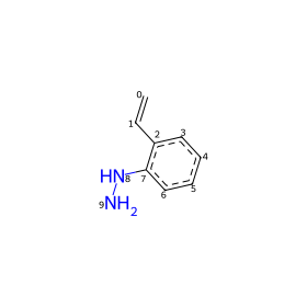 C=Cc1ccccc1NN